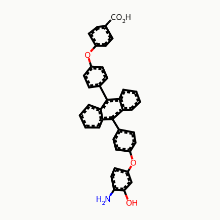 Nc1ccc(Oc2ccc(-c3c4ccccc4c(-c4ccc(Oc5ccc(C(=O)O)cc5)cc4)c4ccccc34)cc2)cc1O